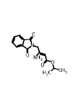 CC(C)OC(=O)C=C(N)CN1C(=O)c2ccccc2C1=O